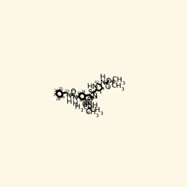 CC(C)OC(=O)N[C@@H]1CCC(c2ncc(-c3ccc(NC(=O)NCc4ccccc4)cc3S(=O)(=O)NC(C)(C)C)s2)NC1